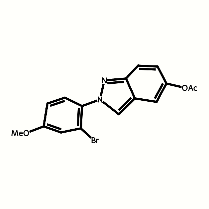 COc1ccc(-n2cc3cc(OC(C)=O)ccc3n2)c(Br)c1